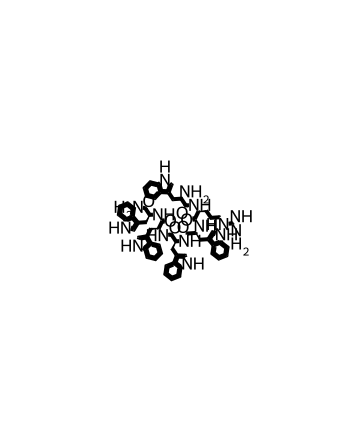 N=C(N)NCCC[C@H](NC(=O)[C@@H](N)Cc1c[nH]c2ccccc12)C(=O)N[C@@H](Cc1c[nH]c2ccccc12)C(=O)N[C@@H](Cc1c[nH]c2ccccc12)C(=O)N[C@@H](Cc1c[nH]c2ccccc12)C(=O)N[C@@H](Cc1c[nH]c2ccccc12)C(N)=O